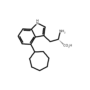 N[C@@H](Cc1c[nH]c2cccc(C3CCCCCC3)c12)C(=O)O